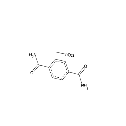 CCCCCCCCC.NC(=O)c1ccc(C(N)=O)cc1